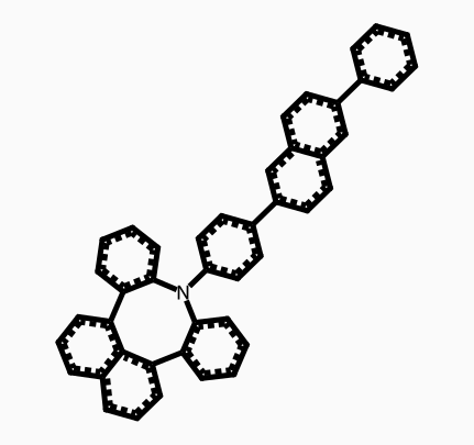 c1ccc(-c2ccc3cc(-c4ccc(N5c6ccccc6-c6cccc7cccc(c67)-c6ccccc65)cc4)ccc3c2)cc1